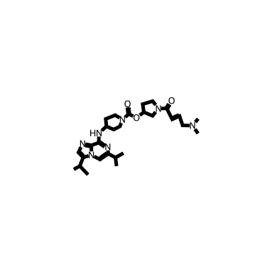 CC(C)c1cn2c(C(C)C)cnc2c(NC2CCN(C(=O)OC3CCN(C(=O)/C=C/CN(C)C)C3)CC2)n1